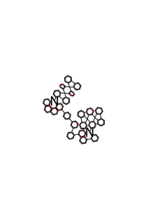 c1ccc(-c2ccccc2N(c2ccc(-c3ccccc3-c3cccc(-c4ccc(-c5ccc(N(c6ccccc6-c6ccccc6)c6cccc7c6-c6ccccc6C76c7ccccc7C7(c8ccccc8-c8ccccc87)c7ccccc76)c(-c6ccccc6)c5)cc4)c3)cc2)c2ccc3c(c2)C2(c4ccccc4-c4ccccc42)c2ccccc2C32c3ccccc3-c3ccccc32)cc1